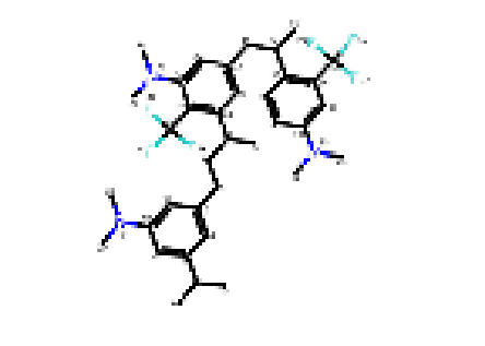 CC(C)c1cc(CCC(C)c2cc(CC(C)c3ccc(N(C)C)cc3C(F)(F)F)cc(N(C)C)c2C(F)(F)F)cc(N(C)C)c1